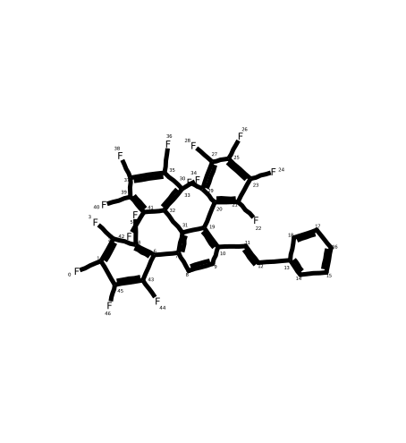 Fc1c(F)c(F)c(-c2ccc(C=Cc3ccccc3)c(-c3c(F)c(F)c(F)c(F)c3F)c2-c2c(F)c(F)c(F)c(F)c2F)c(F)c1F